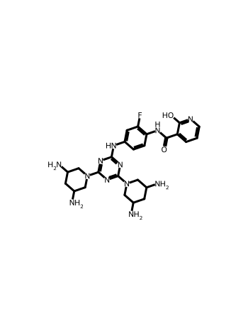 NC1CC(N)CN(c2nc(Nc3ccc(NC(=O)c4cccnc4O)c(F)c3)nc(N3CC(N)CC(N)C3)n2)C1